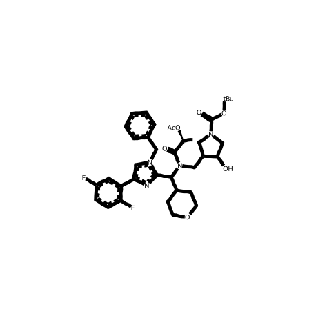 CC(=O)O[C@@H](C)C(=O)N(CC1CN(C(=O)OC(C)(C)C)CC1O)C(c1nc(-c2cc(F)ccc2F)cn1Cc1ccccc1)C1CCOCC1